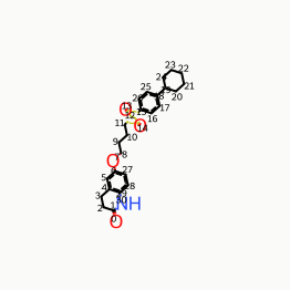 O=C1CCc2cc(OCCCCS(=O)(=O)c3ccc(C4CCCCC4)cc3)ccc2N1